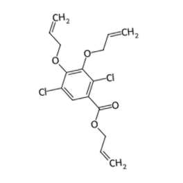 C=CCOC(=O)c1cc(Cl)c(OCC=C)c(OCC=C)c1Cl